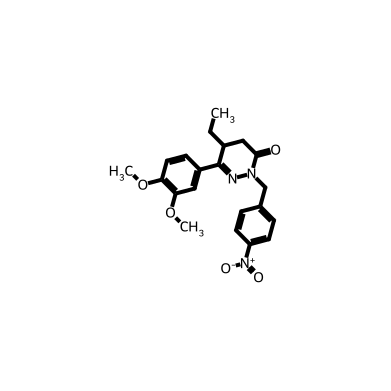 CCC1CC(=O)N(Cc2ccc([N+](=O)[O-])cc2)N=C1c1ccc(OC)c(OC)c1